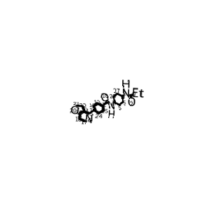 CCC(=O)NC1CCC(NC(=O)c2ccc(-c3nccc4occc34)cc2)CC1